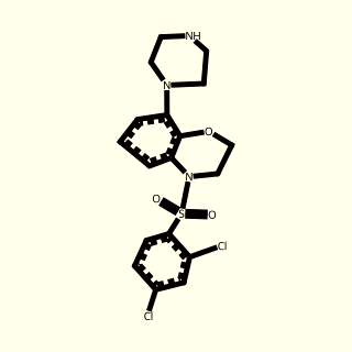 O=S(=O)(c1ccc(Cl)cc1Cl)N1CCOc2c(N3CCNCC3)cccc21